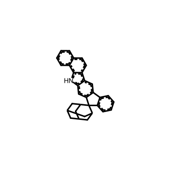 c1ccc2c(c1)-c1cc3c(cc1C21C2CC4CC(C2)CC1C4)[nH]c1c2ccccc2ccc31